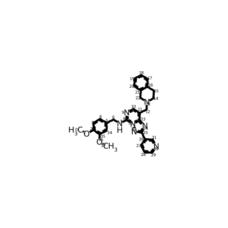 COc1ccc(CNc2ncc(CN3CCc4ccccc4C3)c3nc(-c4cccnc4)nn23)cc1OC